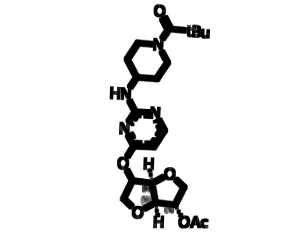 CC(=O)O[C@H]1CO[C@@H]2C(Oc3ccnc(NC4CCN(C(=O)C(C)(C)C)CC4)n3)CO[C@H]12